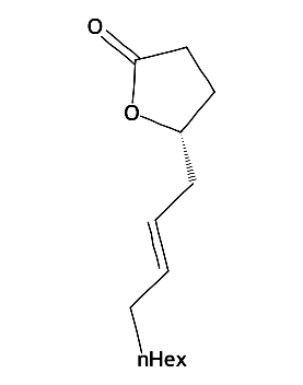 CCCCCCC/C=C/C[C@H]1CCC(=O)O1